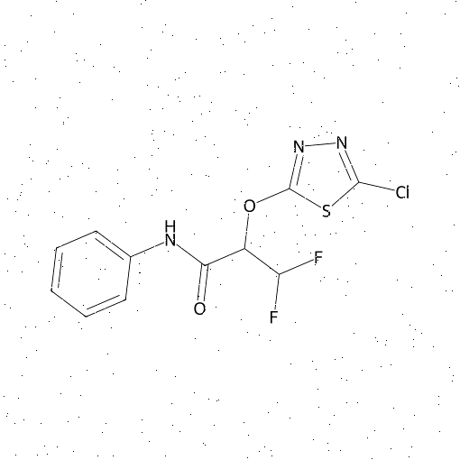 O=C(Nc1ccccc1)C(Oc1nnc(Cl)s1)C(F)F